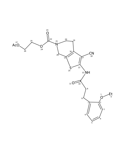 CCOc1ccccc1CCC(=O)Nc1sc2c(c1C#N)CCN(C(=O)OCCOC(C)=O)C2